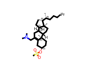 CC(C)CCC[C@@H](C)[C@H]1CC[C@H]2[C@@H]3CC(CN(C)C)=C4C[C@@H](OS(C)(=O)=O)CC[C@]4(C)[C@H]3CC[C@]12C